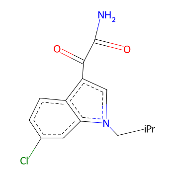 CC(C)Cn1cc(C(=O)C(N)=O)c2ccc(Cl)cc21